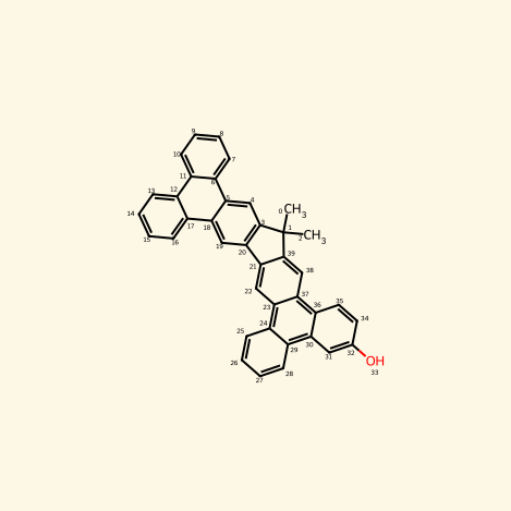 CC1(C)c2cc3c4ccccc4c4ccccc4c3cc2-c2cc3c4ccccc4c4cc(O)ccc4c3cc21